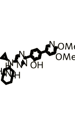 COc1cc(-c2ccc(-c3ncc(N(C4CC4)C4C[C@@H]5CCC[C@@H](C4)N5)nn3)c(O)c2)cnc1OC